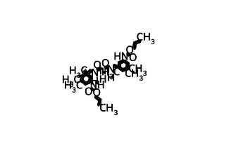 CCCCOC(=O)NC1CC(C)(C)CC(C)(CNC(=O)NC(=O)NCC2(C)CC(NC(=O)OCCCC)CC(C)(C)C2)C1